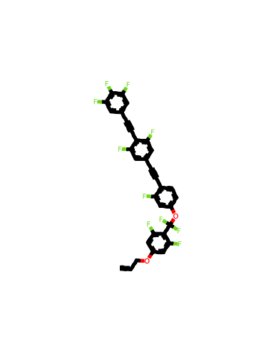 C=CCOc1cc(F)c(C(F)(F)Oc2ccc(C#Cc3cc(F)c(C#Cc4cc(F)c(F)c(F)c4)c(F)c3)c(F)c2)c(F)c1